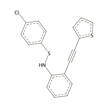 Clc1ccc(SNc2ccccc2C#Cc2cccs2)cc1